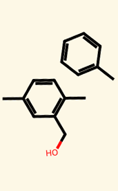 Cc1ccc(C)c(CO)c1.Cc1ccccc1